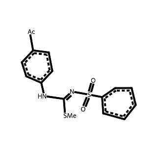 CS/C(=N\S(=O)(=O)c1ccccc1)Nc1ccc(C(C)=O)cc1